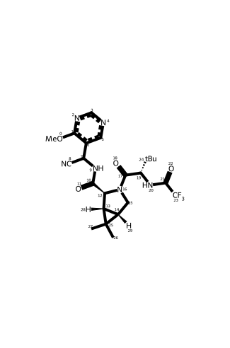 COc1ncncc1C(C#N)NC(=O)[C@@H]1[C@@H]2[C@H](CN1C(=O)[C@@H](NC(=O)C(F)(F)F)C(C)(C)C)C2(C)C